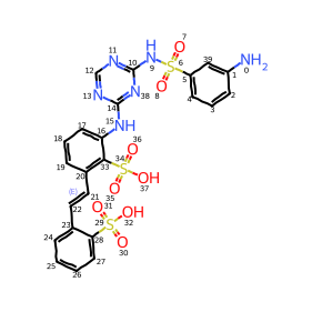 Nc1cccc(S(=O)(=O)Nc2ncnc(Nc3cccc(/C=C/c4ccccc4S(=O)(=O)O)c3S(=O)(=O)O)n2)c1